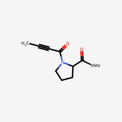 CC#CC(=O)N1CCCC1C(=O)NC